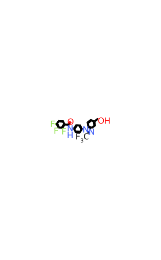 O=C(Nc1ccc(-n2c(C(F)(F)F)nc3cc(CO)ccc32)cc1)c1ccc(F)c(F)c1F